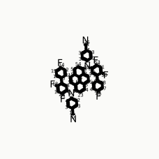 N#Cc1ccc(N(c2cc(-c3ccc(F)cc3)c(F)cc2F)c2ccc3ccc4c(N(c5ccc(C#N)cc5)c5cc(-c6ccc(F)cc6)c(F)cc5F)ccc5ccc2c3c54)cc1